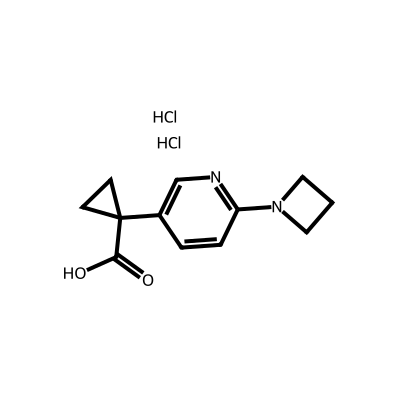 Cl.Cl.O=C(O)C1(c2ccc(N3CCC3)nc2)CC1